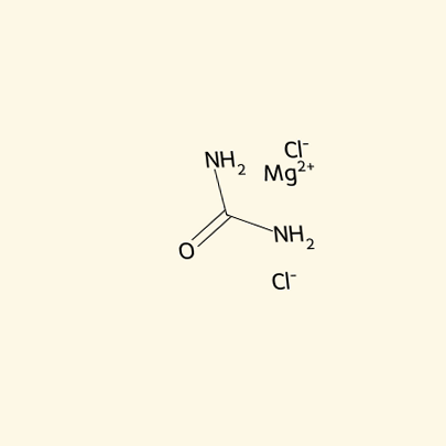 NC(N)=O.[Cl-].[Cl-].[Mg+2]